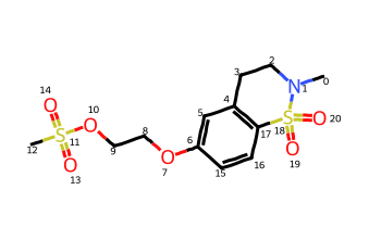 CN1CCc2cc(OCCOS(C)(=O)=O)ccc2S1(=O)=O